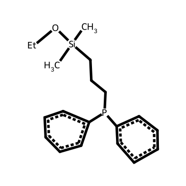 CCO[Si](C)(C)CCCP(c1ccccc1)c1ccccc1